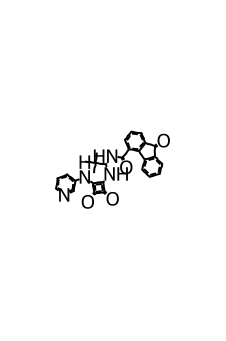 CC(C)(C)C(NC(=O)c1cccc2c1-c1ccccc1C2=O)Nc1c(Nc2cccnc2)c(=O)c1=O